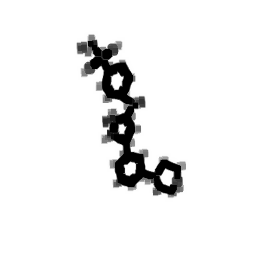 NS(=O)(=O)c1ccc(Nc2cc(-c3cccc(N4CCOCC4)c3)n[nH]2)cc1